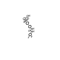 O=C(Nc1ccc(-c2ccc(S(=O)(=O)N3CCC[C@H]3C(=O)O)cc2)cc1)Nc1ccc(F)c(F)c1